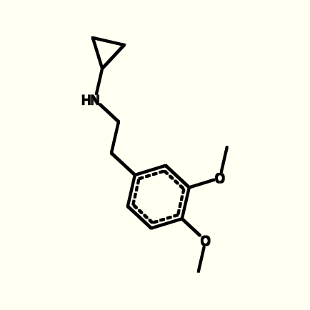 COc1ccc(CCNC2CC2)cc1OC